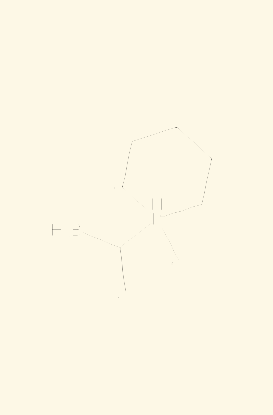 BC(C)[PH]1(C)CCCCC1